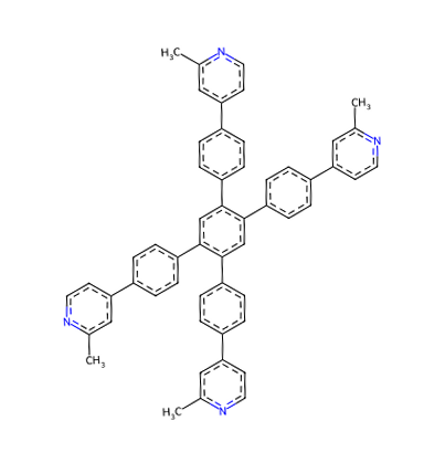 Cc1cc(-c2ccc(-c3cc(-c4ccc(-c5ccnc(C)c5)cc4)c(-c4ccc(-c5ccnc(C)c5)cc4)cc3-c3ccc(-c4ccnc(C)c4)cc3)cc2)ccn1